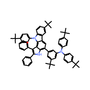 CC(C)(C)c1ccc(N(c2ccc(C(C)(C)C)cc2)c2cc(-c3cc4c5cc(C(C)(C)C)ccc5n(-c5ccc(C(C)(C)C)cc5)c4c4c(-c5ccccc5)c(-c5ccccc5)[nH]c34)cc(C(C)(C)C)c2)cc1